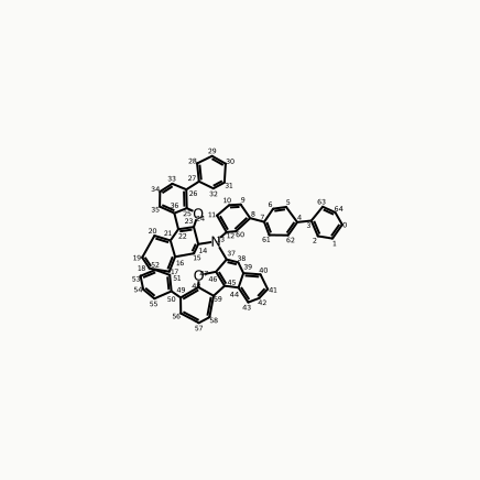 c1ccc(-c2ccc(-c3cccc(N(c4cc5ccccc5c5c4oc4c(-c6ccccc6)cccc45)c4cc5ccccc5c5c4oc4c(-c6ccccc6)cccc45)c3)cc2)cc1